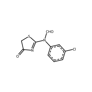 O=CN(C1=NC(=O)CS1)c1cccc(Cl)c1